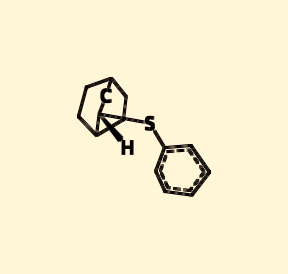 c1ccc(S[C@H]2CC3CCC2CC3)cc1